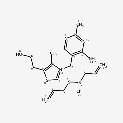 C=CCSSCC=C.Cc1ncc(C[n+]2csc(CCO)c2C)c(N)n1.[Cl-]